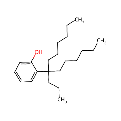 CCCCCCC(CCC)(CCCCCC)c1ccccc1O